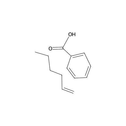 C=CCCCC.O=C(O)c1ccccc1